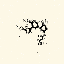 Cc1ncc(-c2cc(-c3cc(SNCCO)ccc3C)cnc2N)o1